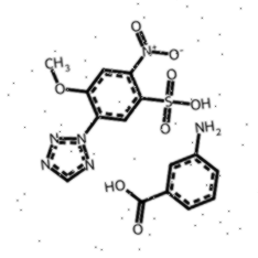 COc1cc([N+](=O)[O-])c(S(=O)(=O)O)cc1-n1ncnn1.Nc1cccc(C(=O)O)c1